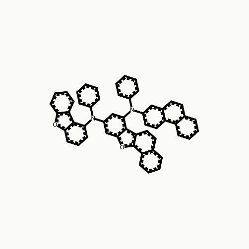 c1ccc(N(c2cc(N(c3ccccc3)c3ccc4c(ccc5ccccc54)c3)c3c(c2)oc2c4ccccc4ccc23)c2cccc3oc4ccccc4c23)cc1